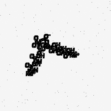 O=C(O)O.O=C(O)O.O=C(O)O.O=C(O)O.O=C([O-])CC(O)(CC(=O)[O-])C(=O)[O-].O=C([O-])O.[Na+].[Na+].[Na+].[Na+]